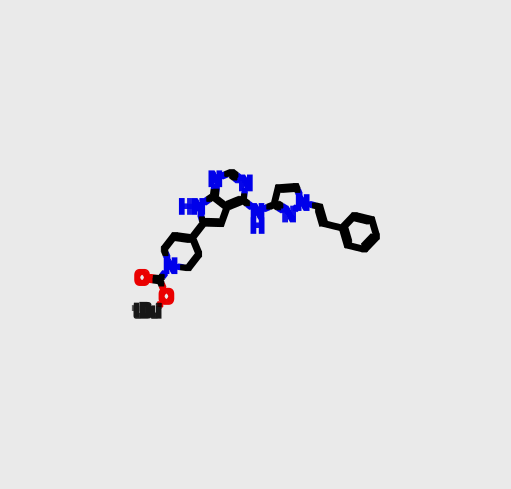 CC(C)(C)OC(=O)N1CC=C(c2cc3c(Nc4ccn(C=Cc5ccccc5)n4)ncnc3[nH]2)CC1